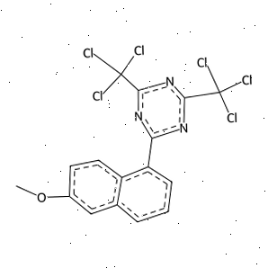 COc1ccc2c(-c3nc(C(Cl)(Cl)Cl)nc(C(Cl)(Cl)Cl)n3)cccc2c1